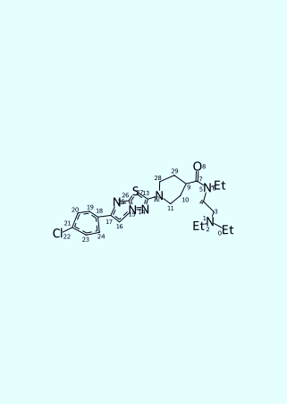 CCN(CC)CCN(CC)C(=O)C1CCN(c2nn3cc(-c4ccc(Cl)cc4)nc3s2)CC1